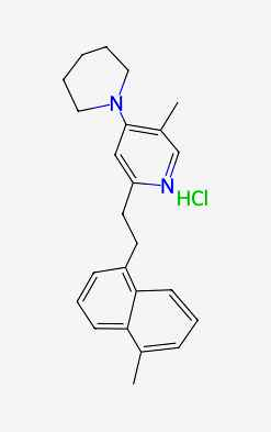 Cc1cnc(CCc2cccc3c(C)cccc23)cc1N1CCCCC1.Cl